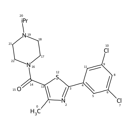 Cc1nc(-c2cc(Cl)cc(Cl)c2)sc1C(=O)N1CCN(C(C)C)CC1